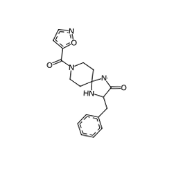 O=C1[N]C2(CCN(C(=O)c3ccno3)CC2)NC1Cc1ccccc1